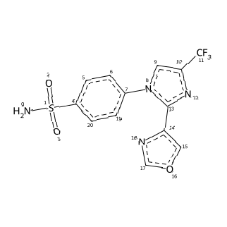 NS(=O)(=O)c1ccc(-n2cc(C(F)(F)F)nc2-c2cocn2)cc1